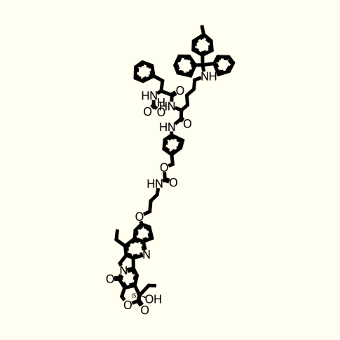 CCc1c2c(nc3ccc(OCCCNC(=O)OCc4ccc(NC(=O)C(CCCCNC(c5ccccc5)(c5ccccc5)c5ccc(C)cc5)NC(=O)C(Cc5ccccc5)NC(=O)O)cc4)cc13)-c1cc3c(c(=O)n1C2)COC(=O)[C@]3(O)CC